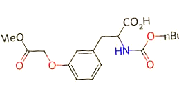 CCCCOC(=O)NC(Cc1cccc(OCC(=O)OC)c1)C(=O)O